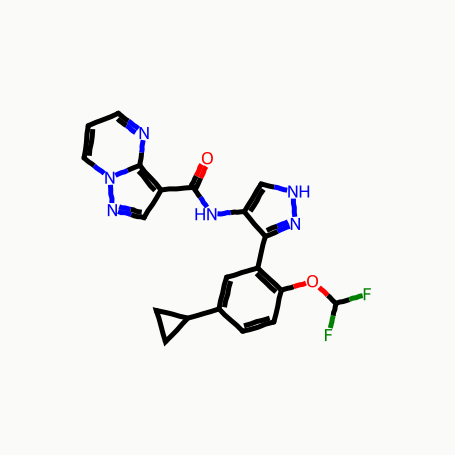 O=C(Nc1c[nH]nc1-c1cc(C2CC2)ccc1OC(F)F)c1cnn2cccnc12